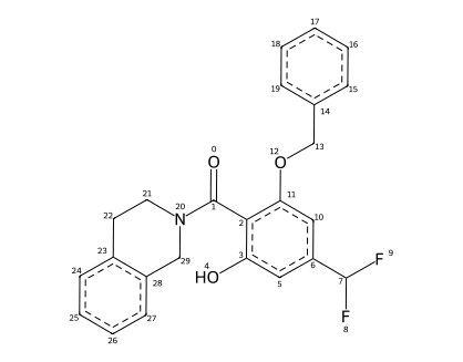 O=C(c1c(O)cc(C(F)F)cc1OCc1ccccc1)N1CCc2ccccc2C1